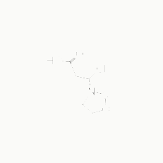 CC(CC(=O)O)N1CCOS1